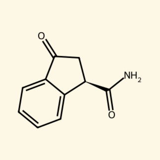 NC(=O)[C@@H]1CC(=O)c2ccccc21